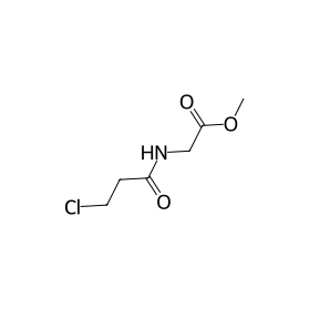 COC(=O)CNC(=O)CCCl